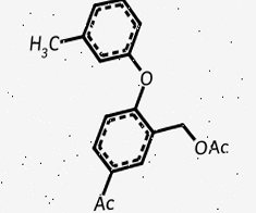 CC(=O)OCc1cc(C(C)=O)ccc1Oc1cccc(C)c1